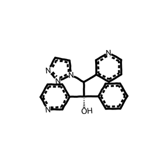 O[C@](c1ccccc1)(c1cccnc1)C(c1cccnc1)n1ccnn1